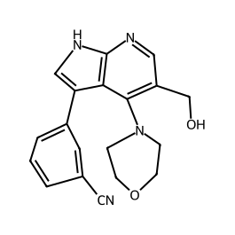 N#Cc1cccc(-c2c[nH]c3ncc(CO)c(N4CCOCC4)c23)c1